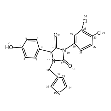 O=C1C(c2ccc(O)cc2)N(Cc2ccsc2)C(=O)N1c1ccc(Cl)c(Cl)c1